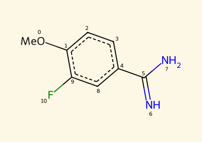 COc1ccc(C(=N)N)cc1F